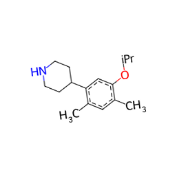 Cc1cc(C)c(C2CCNCC2)cc1OC(C)C